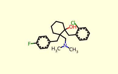 CN(C)CC1(Cc2ccc(F)cc2)CCCCC1(O)Cc1ccccc1Cl